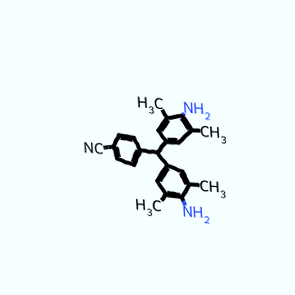 Cc1cc(C(c2ccc(C#N)cc2)c2cc(C)c(N)c(C)c2)cc(C)c1N